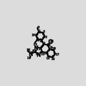 Cc1ccc(C2=C3N=C(N(C)C)N=C3c3ccccc3C2=O)c(C)c1